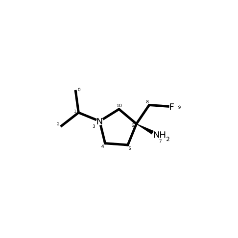 CC(C)N1CC[C@@](N)(CF)C1